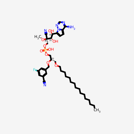 CCCCCCCCCCCCCCCCOC[C@@H](COP(=O)(O)OC[C@@](C#N)(OC)[C@@H](O)[C@@H](O)c1ccc2c(N)ncnn12)OCc1cc(F)cc(C#N)c1